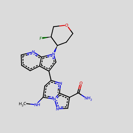 CNc1cc(-c2cn([C@@H]3CCOC[C@@H]3F)c3ncccc23)nc2c(C(N)=O)cnn12